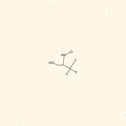 OCC(NCl)C(F)(F)F